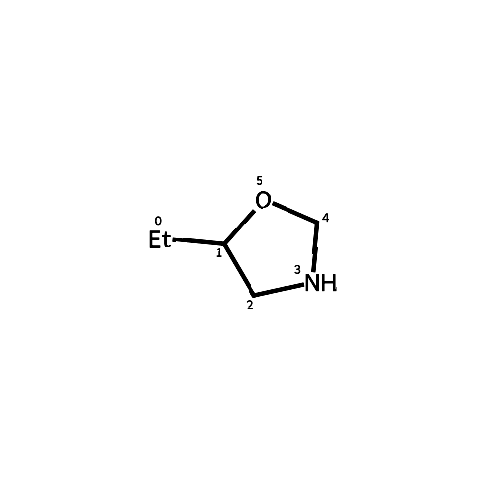 [CH2]CC1CNCO1